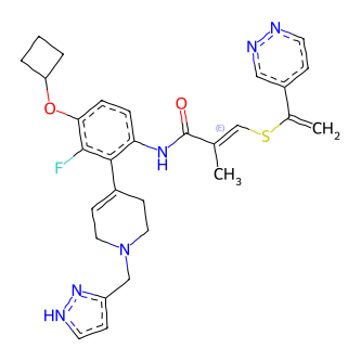 C=C(S/C=C(\C)C(=O)Nc1ccc(OC2CCC2)c(F)c1C1=CCN(Cc2cc[nH]n2)CC1)c1ccnnc1